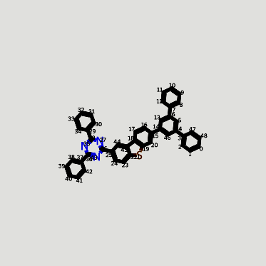 c1ccc(-c2cc(-c3ccccc3)cc(-c3ccc4c(c3)sc3ccc(-c5nc(-c6ccccc6)nc(-c6ccccc6)n5)cc34)c2)cc1